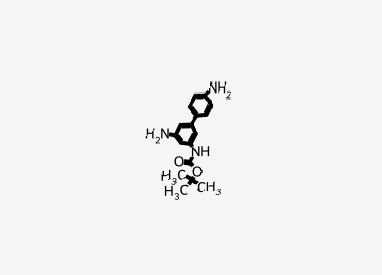 CC(C)(C)OC(=O)Nc1cc(N)cc(-c2ccc(N)cc2)c1